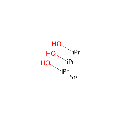 CC(C)O.CC(C)O.CC(C)O.[Sr]